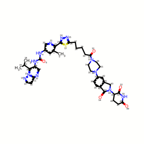 Cc1cc(NC(=O)Nc2cnc3ccnn3c2C(C)C)cnc1-c1nnc(CCCCC(=O)N2CCN(c3ccc4c(c3)CN(C3CCC(=O)NC3=O)C4=O)CC2)s1